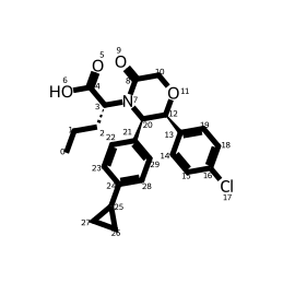 CCC[C@H](C(=O)O)N1C(=O)CO[C@@H](c2ccc(Cl)cc2)[C@H]1c1ccc(C2CC2)cc1